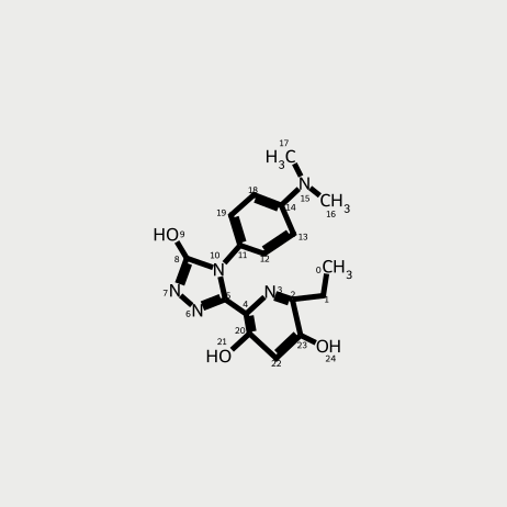 CCc1nc(-c2nnc(O)n2-c2ccc(N(C)C)cc2)c(O)cc1O